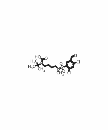 CN(CCCCN(C(=O)O)C(C)(C)C)S(=O)(=O)c1cc(C=O)c(Cl)cc1Cl